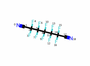 N#CC(F)(F)C(F)(F)C(F)(F)C(F)(F)C(F)(F)C#N